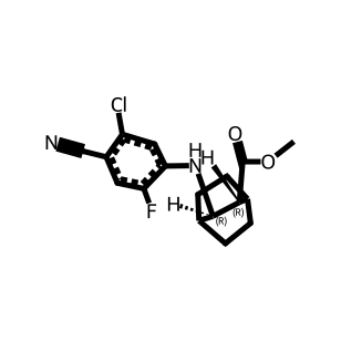 COC(=O)[C@@H]1C2CCC(CC2)[C@H]1Nc1cc(Cl)c(C#N)cc1F